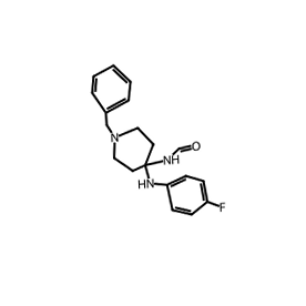 O=CNC1(Nc2ccc(F)cc2)CCN(Cc2ccccc2)CC1